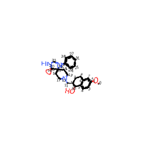 COc1ccc2c(c1)CC[C@H](CN1CCC3(CC1)C(=O)NCN3c1ccccc1)[C@@H]2O